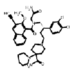 C#Cc1cc2ccccc2c(C(=O)N(CC(N)=O)C[C@@H](CCN2CCC(C(N)=O)(N3CCCCC3)CC2)c2ccc(Cl)c(Cl)c2)c1OC